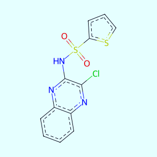 O=S(=O)(Nc1nc2ccccc2nc1Cl)c1cccs1